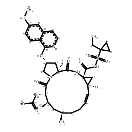 CCC1(S(=O)(=O)NC(=O)[C@@]23C[C@H]2/C=C\CC[C@@H](C)C[C@@H](C)[C@H](NC(=O)O)C(=O)N2C[C@H](Oc4nccc5cc(OC)ccc45)C[C@H]2C(=O)N3)CC1